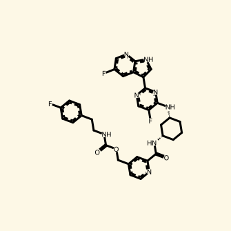 O=C(NCCc1ccc(F)cc1)OCc1ccnc(C(=O)N[C@H]2CCC[C@@H](Nc3nc(-c4c[nH]c5ncc(F)cc45)ncc3F)C2)c1